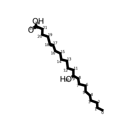 CCCCCCCCCC(O)CCCCCCC=CCCCC(=O)O